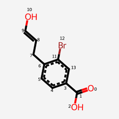 O=C(O)c1ccc(CC=CO)c(Br)c1